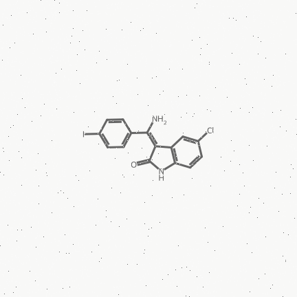 NC(=C1C(=O)Nc2ccc(Cl)cc21)c1ccc(I)cc1